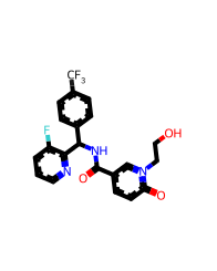 O=C(NC(c1ccc(C(F)(F)F)cc1)c1ncccc1F)c1ccc(=O)n(CCO)c1